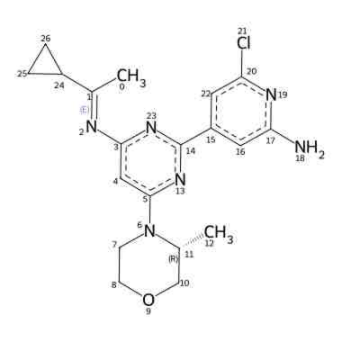 C/C(=N\c1cc(N2CCOC[C@H]2C)nc(-c2cc(N)nc(Cl)c2)n1)C1CC1